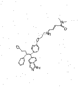 CN(C)C(=O)C=CCNCCOc1ccc(C(=C(CCCl)c2ccccc2)c2ccc3[nH]ncc3c2)cc1